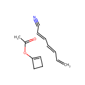 C=CC=CC=CC#N.CC(=O)OC1=CCC1